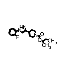 CCC(C)OC(=O)N1CC=C(c2cn(-c3ccccc3F)nn2)CC1